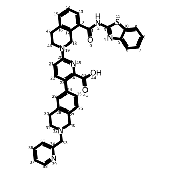 O=C(Nc1nc2ccccc2s1)c1cccc2c1CN(c1ccc(-c3ccc4c(c3)CCN(Cc3ccccn3)C4)c(C(=O)O)n1)CC2